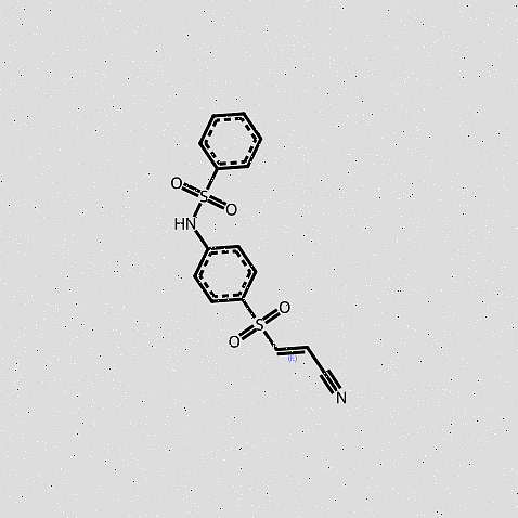 N#C/C=C/S(=O)(=O)c1ccc(NS(=O)(=O)c2ccccc2)cc1